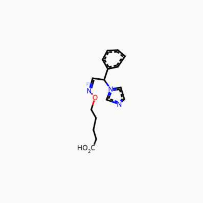 O=C(O)CCCCO/N=C\C(c1ccccc1)n1ccnc1